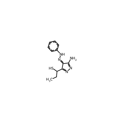 CCC(S)C1=NN=C(N)C1=NNc1ccccc1